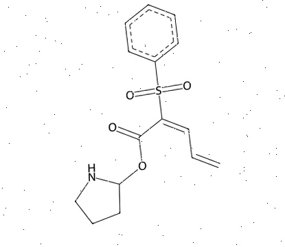 C=CC=C(C(=O)OC1CCCN1)S(=O)(=O)c1ccccc1